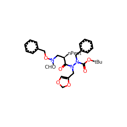 CCCCC[C@H](CN(C=O)OCc1ccccc1)C(=O)N(CC1=COCO1)N(Cc1ccccc1)C(=O)OC(C)(C)C